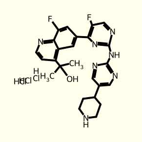 CC(C)(O)c1ccnc2c(F)cc(-c3nc(Nc4ncc(C5CCNCC5)cn4)ncc3F)cc12.Cl.Cl.Cl